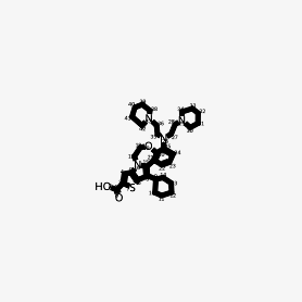 O=C(O)c1cc2c(s1)c(C1CCCCC1)c1n2CCOc2c-1cccc2N(CCN1CCCCC1)CCN1CCCCC1